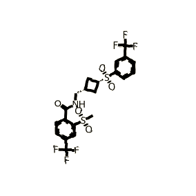 CS(=O)(=O)c1cc(C(F)(F)F)ccc1C(=O)NC[C@H]1C[C@@H](S(=O)(=O)c2cccc(C(F)(F)F)c2)C1